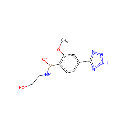 COc1cc(-c2nn[nH]n2)ccc1[S+]([O-])NCCO